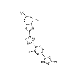 O=c1nc(-c2ccc(-c3noc(-c4cn5cc(C(F)(F)F)cc(Cl)c5n4)n3)c(Cl)c2)[nH]o1